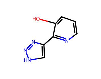 Oc1cccnc1-c1c[nH]nn1